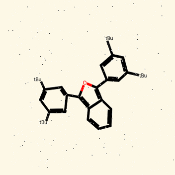 CC(C)(C)c1cc(-c2oc(-c3cc(C(C)(C)C)cc(C(C)(C)C)c3)c3ccccc23)cc(C(C)(C)C)c1